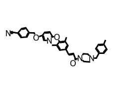 Cc1ccc(CN2CCN(C(=O)C=Cc3cc(C)c(Oc4ccc(OCc5ccc(C#N)cc5)cn4)c(C)c3)CC2)cc1